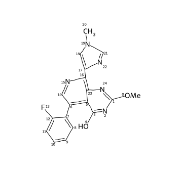 COc1nc(O)c2c(-c3ccccc3F)cnc(-c3cn(C)cn3)c2n1